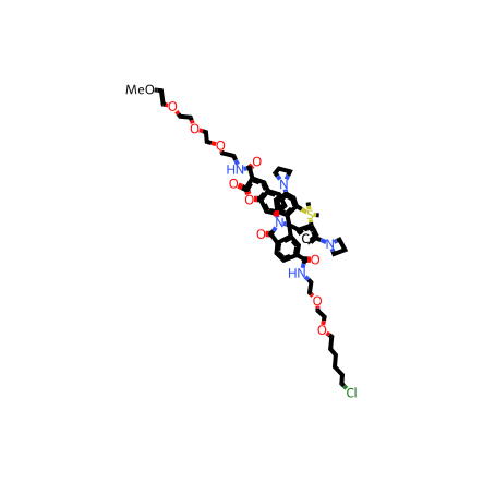 COCCOCCOCCOCCNC(=O)c1cc2ccc(N3C(=O)c4ccc(C(=O)NCCOCCOCCCCCCCl)cc4C34c3ccc(N5CCC5)cc3S(C)(C)c3cc(N5CCC5)ccc34)cc2oc1=O